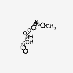 CN1CCC(n2ncc3cc(OCC(=O)NCC(O)CN4CCc5ccccc5C4)ccc32)CC1